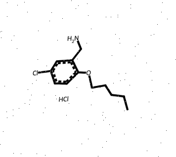 CCCCCOc1ccc(Cl)cc1CN.Cl